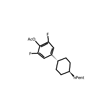 CCCCC[C@H]1CC[C@H](c2cc(F)c(OC(C)=O)c(F)c2)CC1